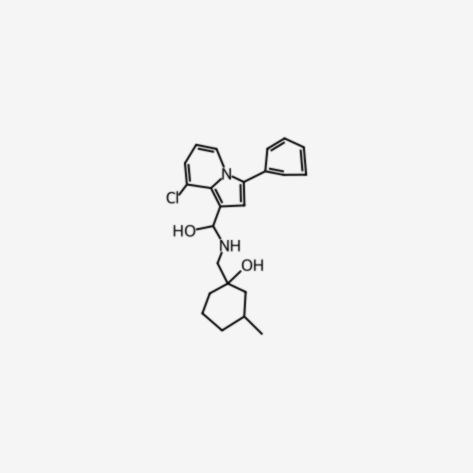 CC1CCCC(O)(CNC(O)c2cc(-c3ccccc3)n3cccc(Cl)c23)C1